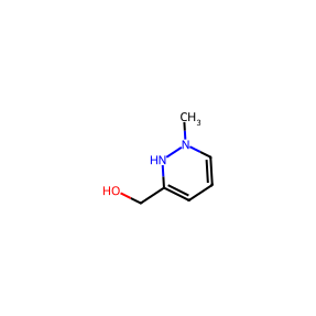 CN1C=CC=C(CO)N1